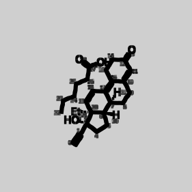 C#C[C@]1(O)CC[C@H]2[C@@H]3CCC4=CC(=O)CCC4=C3C=C[C@@]21CC.CCCCCC(=O)O